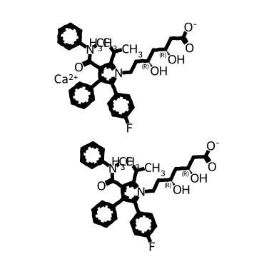 CC(C)c1c(C(=O)N(C)c2ccccc2)c(-c2ccccc2)c(-c2ccc(F)cc2)n1CC[C@@H](O)C[C@@H](O)CC(=O)[O-].CC(C)c1c(C(=O)N(C)c2ccccc2)c(-c2ccccc2)c(-c2ccc(F)cc2)n1CC[C@@H](O)C[C@@H](O)CC(=O)[O-].[Ca+2]